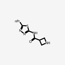 CCCc1nnc(NC(=O)C2CNC2)s1